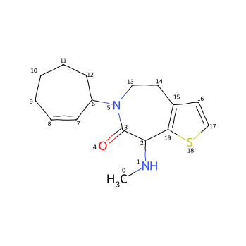 CNC1C(=O)N(C2C=CCCCC2)CCc2ccsc21